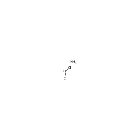 Cl[IH]Cl.N